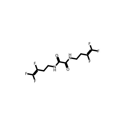 O=C(NCCC(F)=C(F)F)C(=O)NCCC(F)=C(F)F